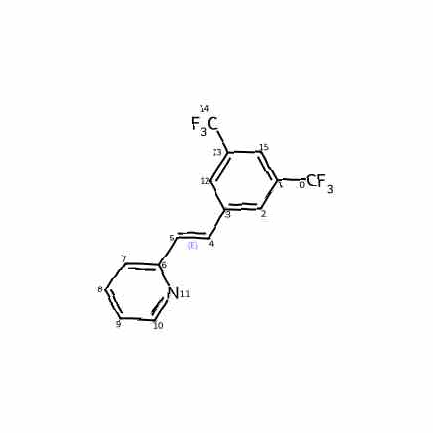 FC(F)(F)c1cc(/C=C/c2ccccn2)cc(C(F)(F)F)c1